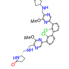 COc1nc(-c2cccc(-c3cccc(-c4cnc(CNC5CC6CC6C5)c(OC)n4)c3Cl)c2Cl)cnc1CNC[C@@H]1CCC(=O)N1